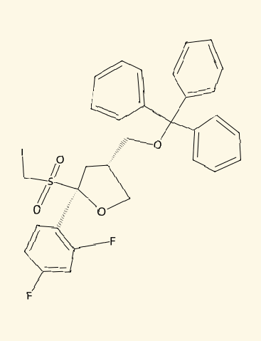 O=S(=O)(CI)[C@@]1(c2ccc(F)cc2F)C[C@H](COC(c2ccccc2)(c2ccccc2)c2ccccc2)CO1